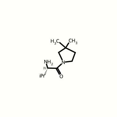 CC(C)[C@H](N)C(=O)N1CCC(C)(C)C1